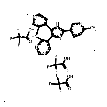 FC(F)(F)c1ccc(-c2nc3c([nH]2)-c2ccncc2Nc2ncccc2-3)cn1.O=C(O)C(F)(F)F.O=C(O)C(F)(F)F.O=C(O)C(F)(F)F